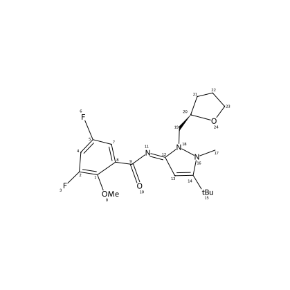 COc1c(F)cc(F)cc1C(=O)/N=c1\cc(C(C)(C)C)n(C)n1C[C@H]1CCCO1